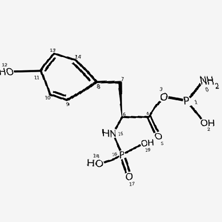 NP(O)OC(=O)[C@H](Cc1ccc(O)cc1)NP(=O)(O)O